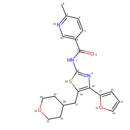 Cc1ccc(C(=O)Nc2nc(-c3ccco3)c(CC3CCOCC3)s2)cn1